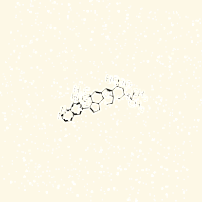 CN(C)[C@H]1C[C@@]23CC[C@@]4(O2)C(=CC(C)(C)[C@]2(C)C(c5ccc6nnccc6c5)=CCC42)C=C3[C@@H](O)[C@@H]1O